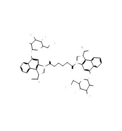 C[C@@H](Cl)[C@@H]1CN(C(=O)CCCCC(=O)N2C[C@@H]([C@@H](C)Cl)c3c2cc(O[C@@H]2OC(CO)[C@H](O)C(O)C2O)c2ccccc32)c2cc(O[C@@H]3OC(CO)[C@H](O)C(O)C3O)c3ccccc3c21